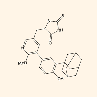 COc1ncc(CC2SC(=S)NC2=O)cc1-c1ccc(O)c(C23CC4CC(CC(C4)C2)C3)c1